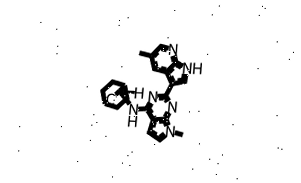 Cc1cnc2[nH]cc(-c3nc(N[C@@H]4CC5CCC4CC5)c4ccn(C)c4n3)c2c1